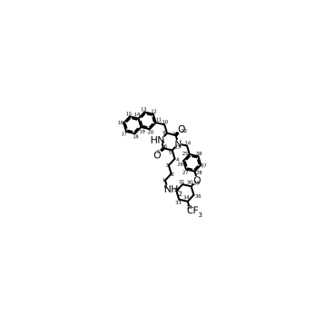 NCCCCC1C(=O)NC(Cc2ccc3ccccc3c2)C(=O)N1Cc1ccc(OC2CCCC(C(F)(F)F)C2)cc1